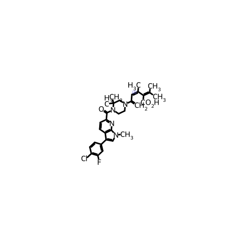 C=C(/C=C(/C)C(C(=O)O)=C(C)C)N1CCN(C(=O)c2ccc3c(-c4ccc(Cl)c(F)c4)cn(C)c3n2)C(C)(C)C1